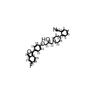 N#Cc1ccccc1N1CCN(CC(O)COc2ccc(-c3occ4cc(F)ccc34)cc2)CC1